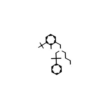 CC(C)(CN(CCCBr)Cc1cccc(C(F)(F)F)c1Cl)c1ccccc1